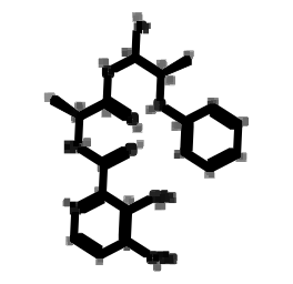 COc1ccnc(C(=O)N[C@@H](C)C(=O)OC(C(C)C)[C@@H](C)Oc2ccccc2)c1OC(C)=O